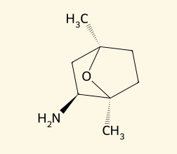 C[C@]12CC[C@](C)(O1)[C@@H](N)C2